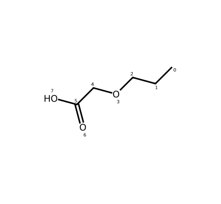 CCCOCC(=O)O